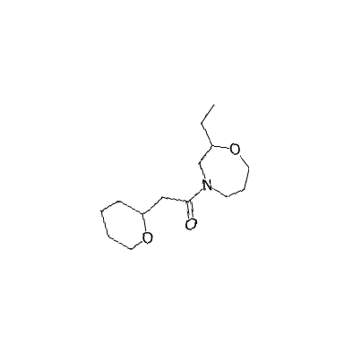 CCC1CN(C(=O)CC2CCCCO2)CCCO1